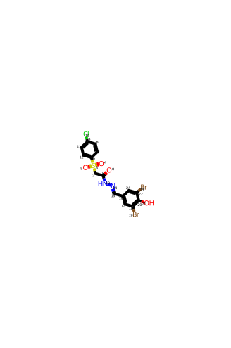 O=C(CS(=O)(=O)c1ccc(Cl)cc1)N/N=C/c1cc(Br)c(O)c(Br)c1